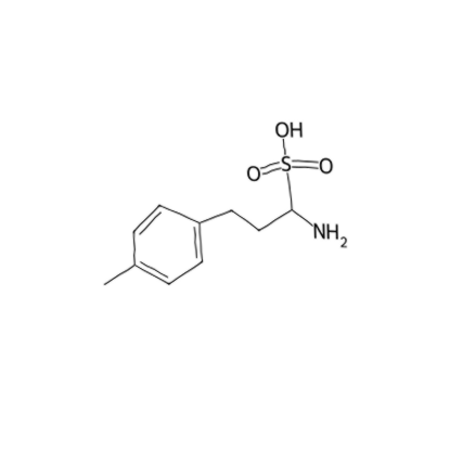 Cc1ccc(CCC(N)S(=O)(=O)O)cc1